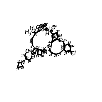 C[C@@H]1[C@@H](C)CCC[C@@H]([C@H]2OC[C@@H](N3CCC3)CO2)[C@@H]2CC[C@H]2CN2CCCCc3cc(Cl)ccc3COc3ccc(cc32)C(=O)NS1(=O)=O